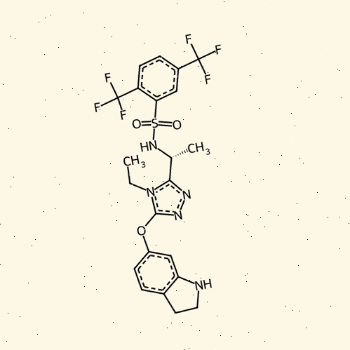 CCn1c(Oc2ccc3c(c2)NCC3)nnc1[C@@H](C)NS(=O)(=O)c1cc(C(F)(F)F)ccc1C(F)(F)F